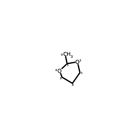 CC1OCCCO1